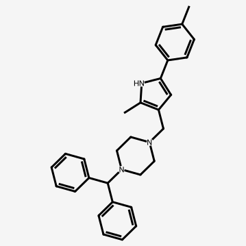 Cc1ccc(-c2cc(CN3CCN(C(c4ccccc4)c4ccccc4)CC3)c(C)[nH]2)cc1